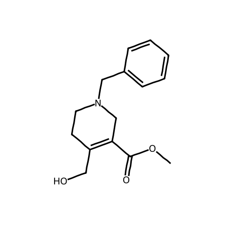 COC(=O)C1=C(CO)CCN(Cc2ccccc2)C1